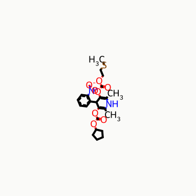 CSCCOC(=O)OC1=C(C)NC(C)=C(OC(=O)OC2CCCC2)C1c1ccccc1[N+](=O)[O-]